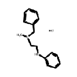 CN(CCNc1ccccc1)Cc1ccccc1.Cl